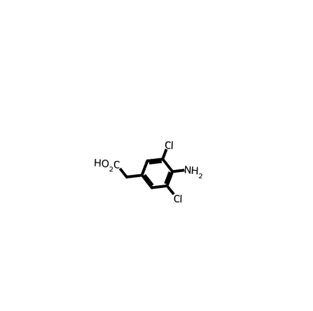 Nc1c(Cl)cc(CC(=O)O)cc1Cl